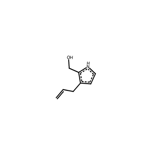 C=CCc1cc[nH]c1CO